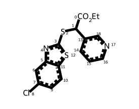 CCOC(=O)C(Sc1nc2cc(Cl)ccc2s1)c1cccnc1